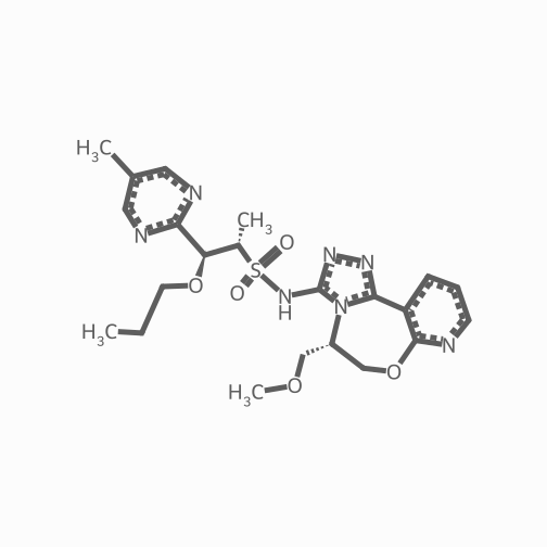 CCCO[C@@H](c1ncc(C)cn1)[C@H](C)S(=O)(=O)Nc1nnc2n1[C@@H](COC)COc1ncccc1-2